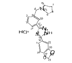 Cl.c1cc(CN2CCCC2)cc(-c2n[nH]c(-c3ccc4c(c3)OCO4)n2)c1